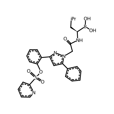 CC(C)C[C@H](NC(=O)Cn1nc(-c2ccccc2OS(=O)(=O)c2ccccn2)cc1-c1ccccc1)B(O)O